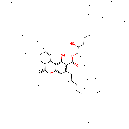 C=C(C)[C@@H]1CCC(C)=C[C@H]1c1c(O)cc(CCCCC)c(C(=O)OCC(O)CCC)c1O